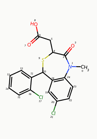 CN1C(=O)C(CC(=O)O)SC(c2ccccc2Cl)c2cc(Cl)ccc21